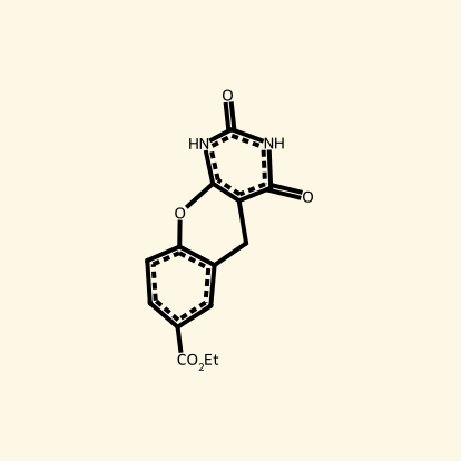 CCOC(=O)c1ccc2c(c1)Cc1c([nH]c(=O)[nH]c1=O)O2